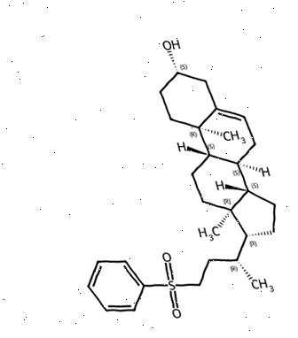 C[C@H](CCS(=O)(=O)c1ccccc1)[C@H]1CC[C@H]2[C@@H]3CC=C4C[C@@H](O)CC[C@]4(C)[C@H]3CC[C@]12C